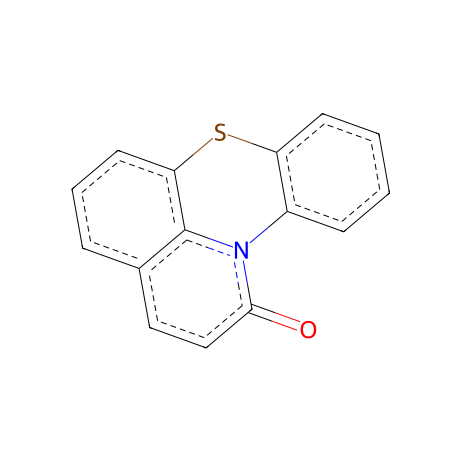 O=c1ccc2cccc3c2n1-c1ccccc1S3